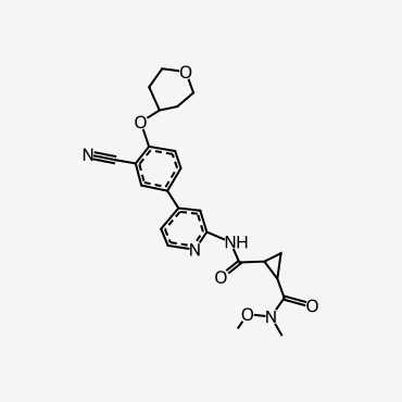 CON(C)C(=O)C1CC1C(=O)Nc1cc(-c2ccc(OC3CCOCC3)c(C#N)c2)ccn1